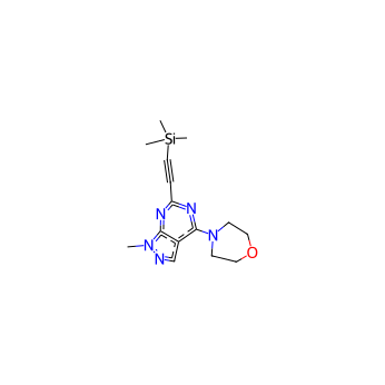 Cn1ncc2c(N3CCOCC3)nc(C#C[Si](C)(C)C)nc21